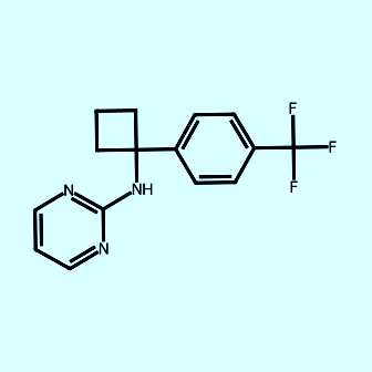 FC(F)(F)c1ccc(C2(Nc3ncccn3)CCC2)cc1